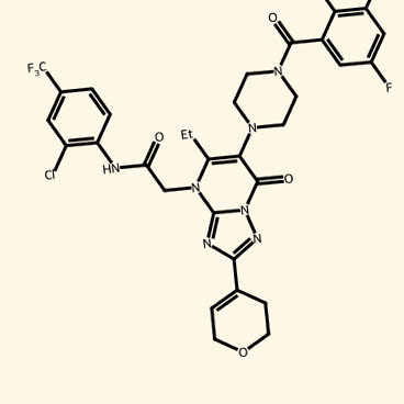 CCc1c(N2CCN(C(=O)c3cc(F)cc(F)c3O)CC2)c(=O)n2nc(C3=CCOCC3)nc2n1CC(=O)Nc1ccc(C(F)(F)F)cc1Cl